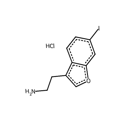 Cl.NCCc1coc2cc(I)ccc12